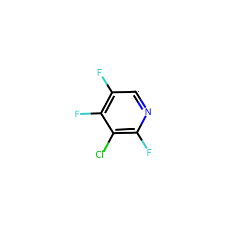 Fc1[c]nc(F)c(Cl)c1F